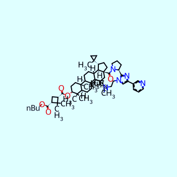 CCCCOC(=O)[C@@H]1C[C@H](C(=O)O[C@H]2CC[C@]3(C)[C@H]4CC[C@@H]5[C@H]6[C@H](C7(C)CC7)CC[C@]6(C(=O)N6CCC[C@H]6c6nc(-c7cccnc7)cn6CCN(C)C)CC[C@@]5(C)[C@]4(C)CC[C@H]3C2(C)C)C1(C)C